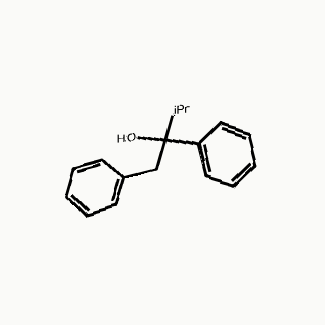 CC(C)C(O)(Cc1ccccc1)c1ccccc1